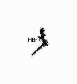 Br.CCCCCCCCCCCCCCOc1cc(CCN(C(=O)CC)c2cccc(CN3C=C(C)SC3)c2)ccc1OC